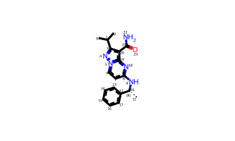 CC(C)c1nn2ccc(N[C@H](C)c3ccccc3)nc2c1C(N)=O